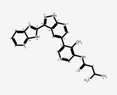 Cc1c(NC(=O)CC(C)C)cncc1-c1cnc2[nH]nc(-c3nc4cccnc4[nH]3)c2c1